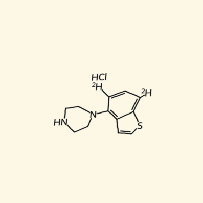 Cl.[2H]c1cc([2H])c2sccc2c1N1CCNCC1